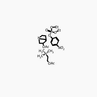 CC(=O)OC1CN2CCC1CC2.CC(=O)OCC[N+](C)(C)C.CCOP(=O)(OCC)Oc1ccc([N+](=O)[O-])cc1